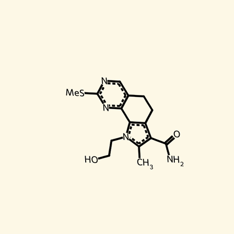 CSc1ncc2c(n1)-c1c(c(C(N)=O)c(C)n1CCO)CC2